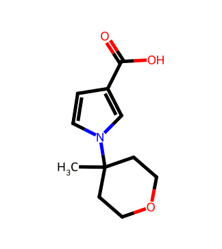 CC1(n2ccc(C(=O)O)c2)CCOCC1